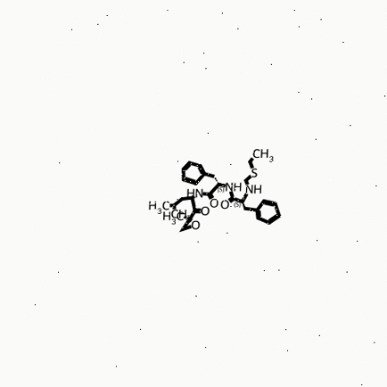 CCSCN[C@@H](Cc1ccccc1)C(=O)N[C@@H](Cc1ccccc1)C(=O)NC(CC(C)C)C(=O)[C@@]1(C)CO1